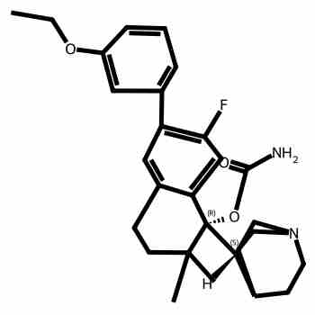 CCOc1cccc(-c2cc3c(cc2F)[C@@](OC(N)=O)([C@@H]2CN4CCC2CC4)C(C)(C)CC3)c1